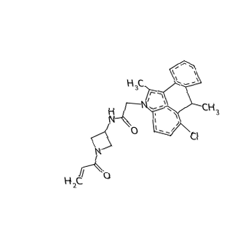 C=CC(=O)N1CC(NC(=O)Cn2c(C)c3c4c(c(Cl)ccc42)C(C)c2ccccc2-3)C1